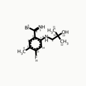 Cc1cc(C(=N)Br)c(NCC(C)(C)O)cc1F